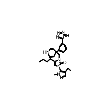 CCCCc1cn(-c2c(CC)cnn2C)c(=O)n1CC1(c2cccc(-c3nnn[nH]3)c2)C=CNC=C1